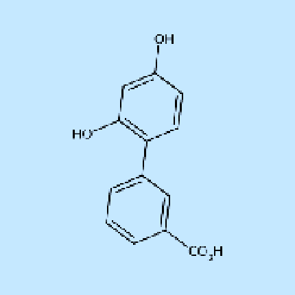 O=C(O)c1cccc(-c2ccc(O)cc2O)c1